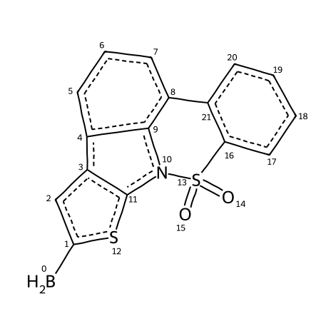 Bc1cc2c3cccc4c3n(c2s1)S(=O)(=O)c1ccccc1-4